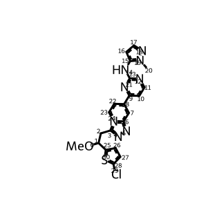 COC(Cc1nnc2cc(-c3ccnc(Nc4ccnn4C)n3)ccn12)c1ccc(Cl)s1